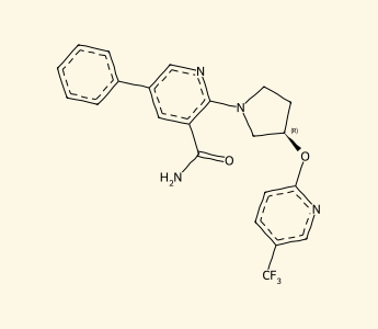 NC(=O)c1cc(-c2ccccc2)cnc1N1CC[C@@H](Oc2ccc(C(F)(F)F)cn2)C1